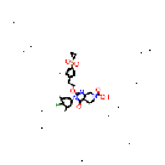 Cc1cc(-n2c(OCCc3ccc(S(=O)(=O)C4CC4)cc3)nc3c(c2=O)CCN(C(=O)O)[C@H]3C)cc(C)c1F